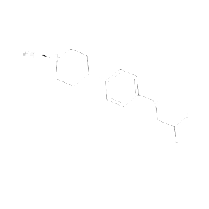 CCCCCCC[Si@H]1CC[C@H](c2ccc(OCC(F)F)cc2)CC1